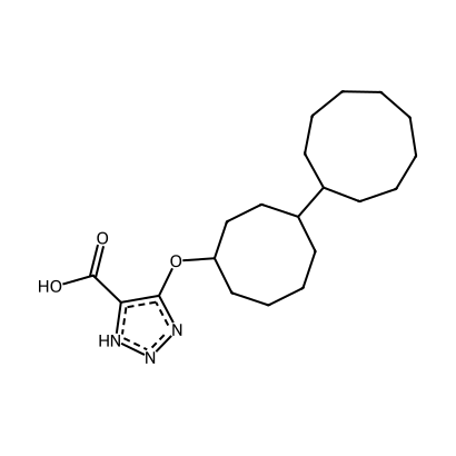 O=C(O)c1[nH]nnc1OC1CCCCC(C2CCCCCCCC2)CC1